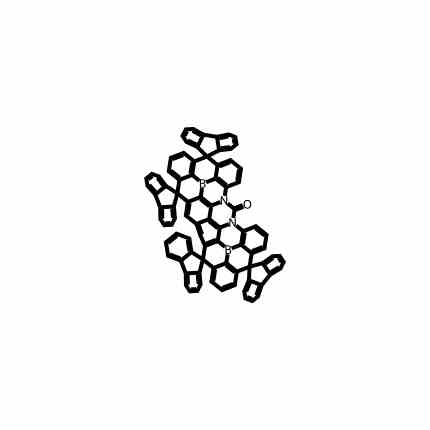 O=C1N2c3cccc4c3B3c5c(cccc5C5(c6ccccc6-c6ccccc65)c5cc6cc7c8c(c6c2c53)N1c1cccc2c1B8c1c(cccc1C71c3ccccc3-c3ccccc31)C21c2ccccc2-c2ccccc21)C41c2ccccc2-c2ccccc21